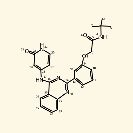 CC(C)(C)NC(=O)COc1cccc(-c2nc(Nc3cc[nH]c(=O)c3)c3ccccc3n2)c1